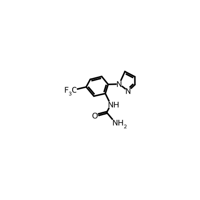 NC(=O)Nc1cc(C(F)(F)F)ccc1-n1cccn1